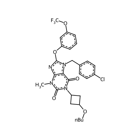 CCCCOC1CC(n2c(=O)c3c(nc(Oc4cccc(OC(F)(F)F)c4)n3Cc3ccc(Cl)cc3)n(C)c2=O)C1